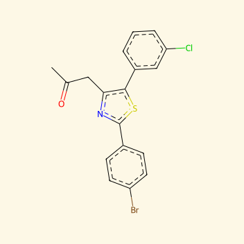 CC(=O)Cc1nc(-c2ccc(Br)cc2)sc1-c1cccc(Cl)c1